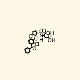 O=C(O)CC(NC(=O)[C@H]1CC[C@H](Oc2ccc(C(=O)c3ccccc3)c(Cl)c2Cl)C1)C(=O)O